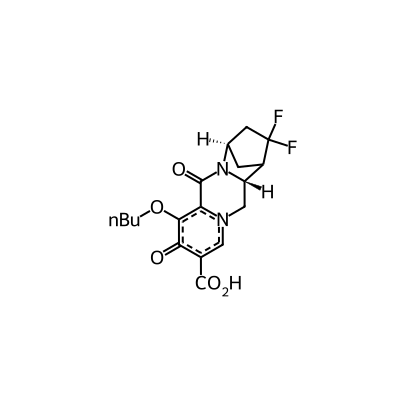 CCCCOc1c2n(cc(C(=O)O)c1=O)C[C@H]1C3C[C@H](CC3(F)F)N1C2=O